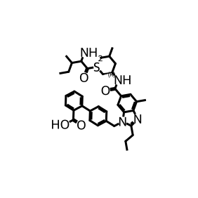 CCCc1nc2c(C)cc(C(=O)N[C@@H](CSC(=O)C(N)C(C)CC)CC(C)C)cc2n1Cc1ccc(-c2ccccc2C(=O)O)cc1